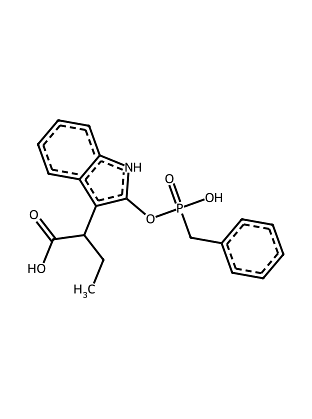 CCC(C(=O)O)c1c(OP(=O)(O)Cc2ccccc2)[nH]c2ccccc12